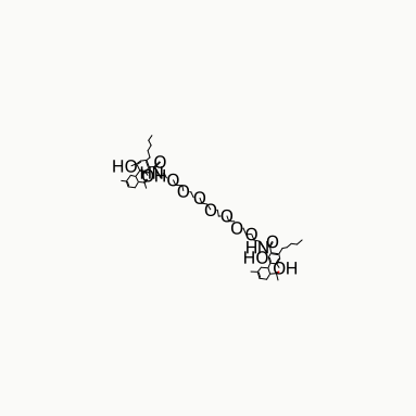 C=C(C)C1CC=C(C)CC1c1c(O)cc(CCCCC)c(C(=O)NCCOCCOCCOCCOCCOCCOCCOCCNC(=O)c2c(CCCCC)cc(O)c(C3CC(C)=CCC3C(=C)C)c2O)c1O